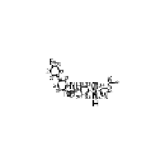 CC(C)c1cncc(S(=N)(=O)c2ccc(C(=O)Nc3cc(-c4ccc(F)cc4)ccc3N)cc2)c1